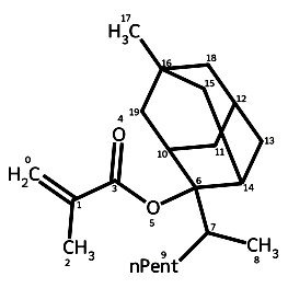 C=C(C)C(=O)OC1(C(C)CCCCC)C2CC3CC1CC(C)(C3)C2